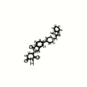 Cn1c(CN2CCC(c3ccc4c(c3)CN(C3CCC(=O)NC3=O)C4=O)CC2)nc2ccccc21